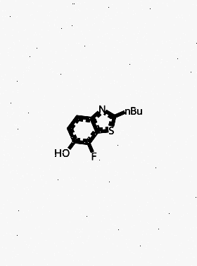 CCCCc1nc2ccc(O)c(F)c2s1